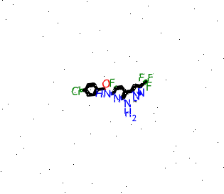 Cn1nc(C(F)(F)F)cc1-c1cc(F)c(NC(=O)c2ccc(Cl)cc2)nc1N